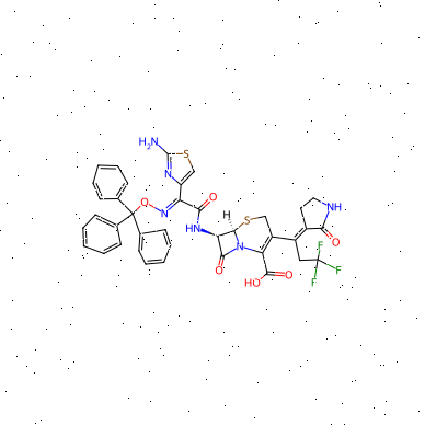 Nc1nc(C(=NOC(c2ccccc2)(c2ccccc2)c2ccccc2)C(=O)N[C@@H]2C(=O)N3C(C(=O)O)=C(C(CC(F)(F)F)=C4CCNC4=O)CS[C@H]23)cs1